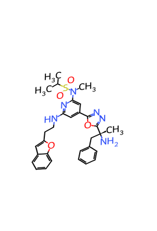 CC(C)S(=O)(=O)N(C)c1cc(-c2nnc([C@](C)(N)Cc3ccccc3)o2)cc(NCCc2cc3ccccc3o2)n1